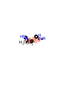 CC(C)(C)C(Oc1ccc(S(=O)(=O)C[C@@H]2CCCC[C@H]2C(=O)NCC#N)cc1)C(=O)N1CCNCC1